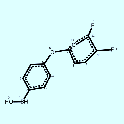 OBc1ccc(Oc2ccc(F)c(F)c2)cc1